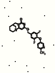 Cc1ccc(Oc2c(F)cc(COc3cc4n(c(=O)n3)CC3CCCN4C3)cc2F)cn1